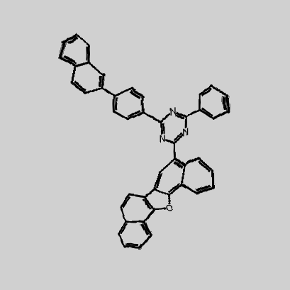 c1ccc(-c2nc(-c3ccc(-c4ccc5ccccc5c4)cc3)nc(-c3cc4c5ccc6ccccc6c5oc4c4ccccc34)n2)cc1